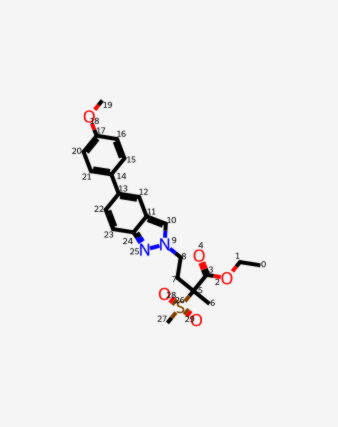 CCOC(=O)C(C)(CCn1cc2cc(-c3ccc(OC)cc3)ccc2n1)S(C)(=O)=O